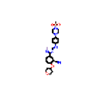 CS(=O)(=O)N1CCN(c2ccc(N/C=N/C(=N\I)C3=CC(C#N)=C(OC4CCOCC4)C=CC3)cc2)CC1